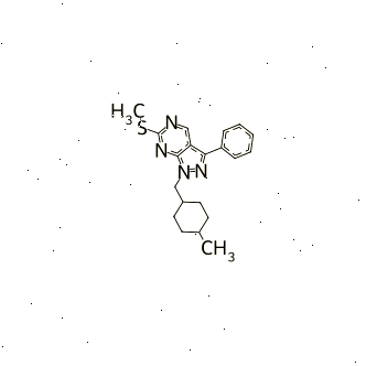 CSc1ncc2c(-c3ccccc3)nn(CC3CCC(C)CC3)c2n1